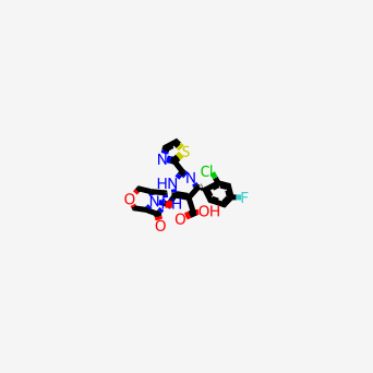 O=C(O)C1=C(CN2C3CNC(=O)C2COC3)NC(c2nccs2)=N[C@H]1c1ccc(F)cc1Cl